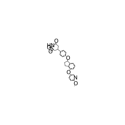 COc1ccc(Oc2cccc3c2CC[C@H]3Oc2ccc(C3CC(=O)NS(=O)(=O)C3)cc2)cn1